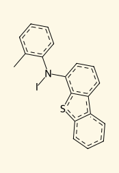 Cc1ccccc1N(I)c1cccc2c1sc1ccccc12